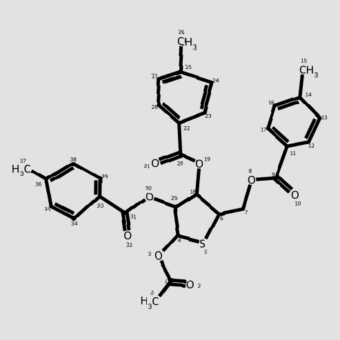 CC(=O)OC1SC(COC(=O)c2ccc(C)cc2)C(OC(=O)c2ccc(C)cc2)C1OC(=O)c1ccc(C)cc1